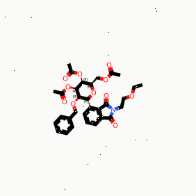 CCOCCN1C(=O)c2cccc([C@H]3O[C@H](COC(C)=O)[C@@H](OC(C)=O)[C@H](OC(C)=O)[C@@H]3OCc3ccccc3)c2C1=O